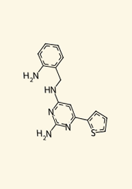 Nc1nc(NCc2ccccc2N)cc(-c2cccs2)n1